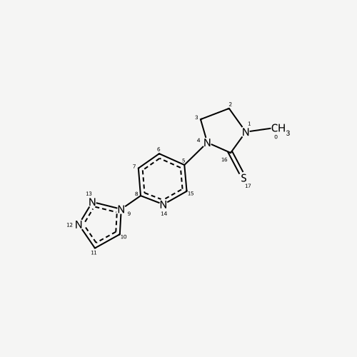 CN1CCN(c2ccc(-n3ccnn3)nc2)C1=S